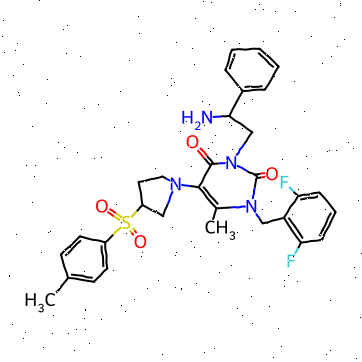 Cc1ccc(S(=O)(=O)C2CCN(c3c(C)n(Cc4c(F)cccc4F)c(=O)n(CC(N)c4ccccc4)c3=O)C2)cc1